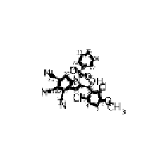 COc1ccc(Cl)c(C(O)c2cc3c(C#N)c(C#N)c(C#N)cc3n2S(=O)(=O)c2ccccc2)c1Cl